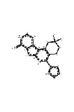 CC1(C)CCc2c(-c3ccco3)nc3sc4c(=O)[nH]cnc4c3c2C1